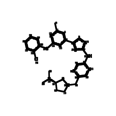 Cc1cc(-c2cnc(Nc3cnc(CN4CC[C@@H](N(C)C)C4)cn3)s2)nc(Sc2ccccc2Cl)n1